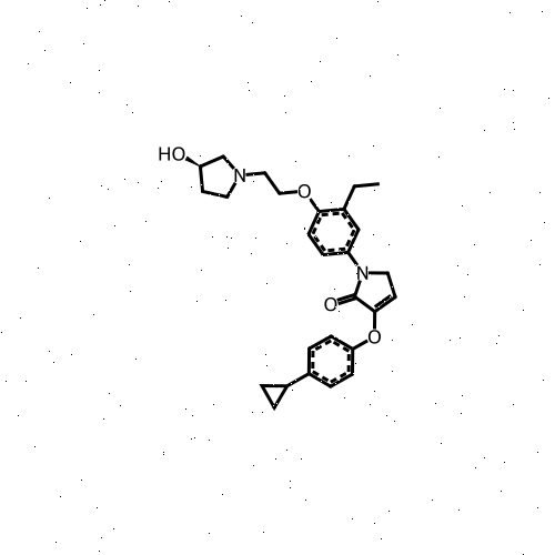 CCc1cc(N2CC=C(Oc3ccc(C4CC4)cc3)C2=O)ccc1OCCN1CC[C@@H](O)C1